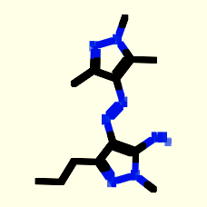 CCCc1nn(C)c(N)c1/N=N/c1c(C)nn(C)c1C